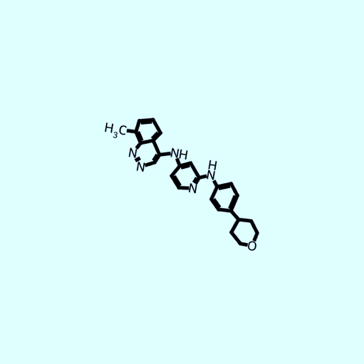 Cc1cccc2c(Nc3ccnc(Nc4ccc(C5CCOCC5)cc4)c3)cnnc12